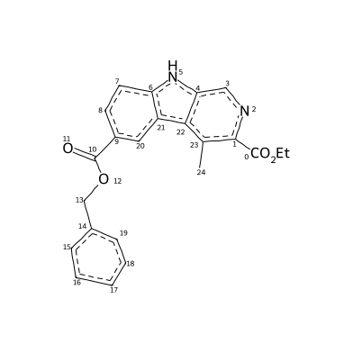 CCOC(=O)c1ncc2[nH]c3ccc(C(=O)OCc4ccccc4)cc3c2c1C